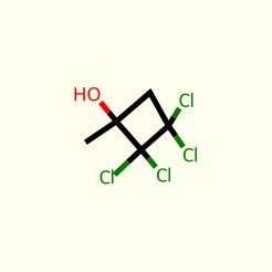 CC1(O)CC(Cl)(Cl)C1(Cl)Cl